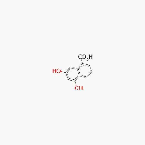 O=C(O)c1cccc2c(O)cc(O)cc12